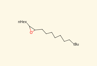 CCCCCCC1OC1CCCCCCCC(C)(C)C